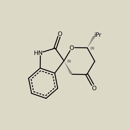 CC(C)[C@@H]1CC(=O)C[C@@]2(O1)C(=O)Nc1ccccc12